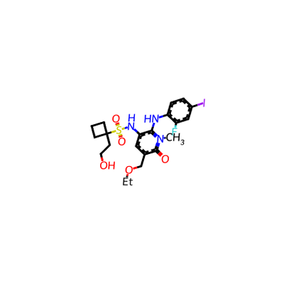 CCOCc1cc(NS(=O)(=O)C2(CCO)CCC2)c(Nc2ccc(I)cc2F)n(C)c1=O